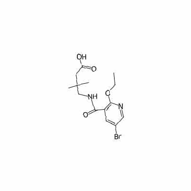 CCOc1ncc(Br)cc1C(=O)NCC(C)(C)CC(=O)O